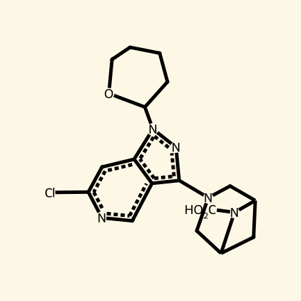 O=C(O)N1C2CC1CN(c1nn(C3CCCCO3)c3cc(Cl)ncc13)C2